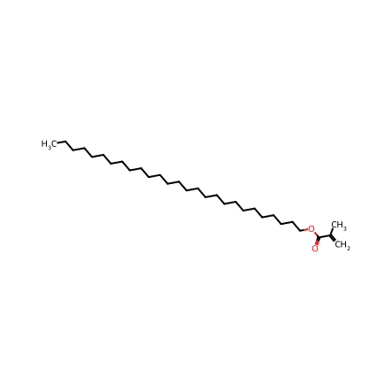 C=C(C)C(=O)OCCCCCCCCCCCCCCCCCCCCCCCCCCC